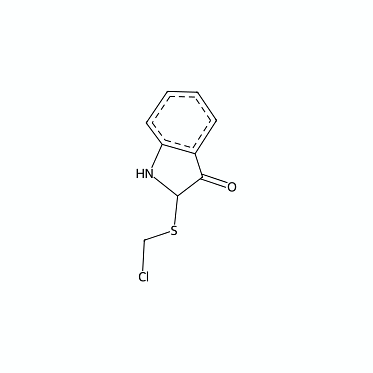 O=C1c2ccccc2NC1SCCl